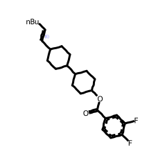 CCCC/C=C/C1CCC(C2CCC(OC(=O)c3ccc(F)c(F)c3)CC2)CC1